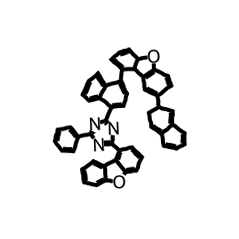 C1=CC2Oc3ccc(C4C=c5ccccc5=CC4)cc3C2C(c2ccc(-c3nc(-c4ccccc4)nc(-c4cccc5oc6ccccc6c45)n3)c3ccccc23)=C1